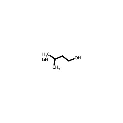 CC(C)CCO.[LiH]